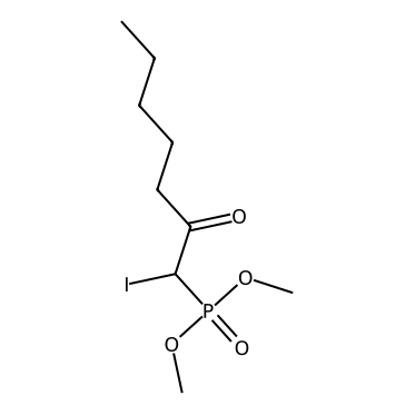 CCCCCC(=O)C(I)P(=O)(OC)OC